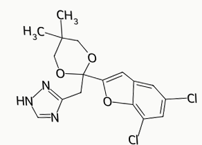 CC1(C)COC(Cc2nc[nH]n2)(c2cc3cc(Cl)cc(Cl)c3o2)OC1